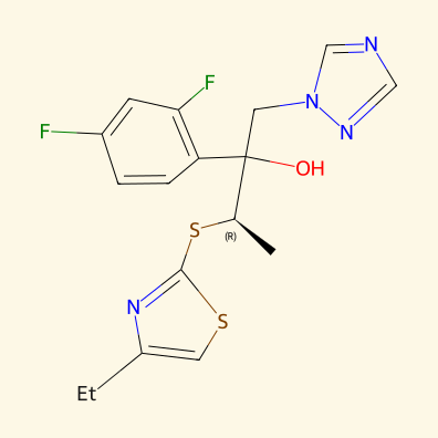 CCc1csc(S[C@H](C)C(O)(Cn2cncn2)c2ccc(F)cc2F)n1